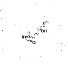 CCCOCC(O)CSCC[C@H](NC(C)C)C(=O)C(C)C